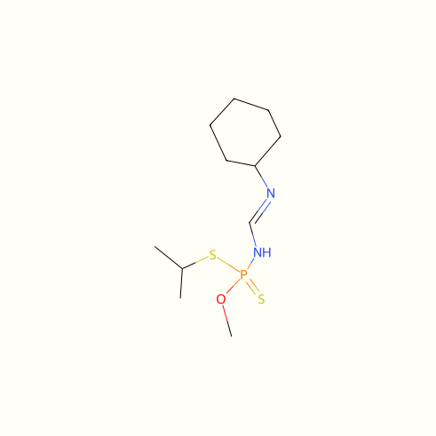 COP(=S)(NC=NC1CCCCC1)SC(C)C